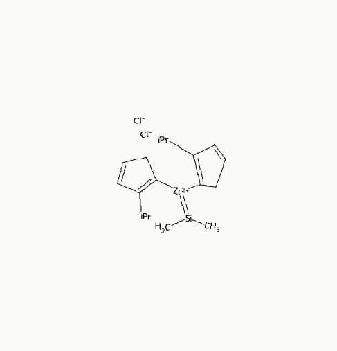 CC(C)C1=[C]([Zr+2]([C]2=C(C(C)C)C=CC2)=[Si](C)C)CC=C1.[Cl-].[Cl-]